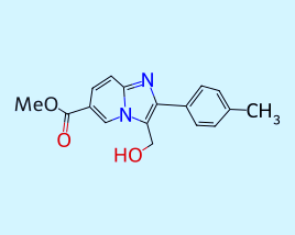 COC(=O)c1ccc2nc(-c3ccc(C)cc3)c(CO)n2c1